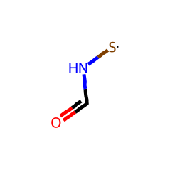 O=CN[S]